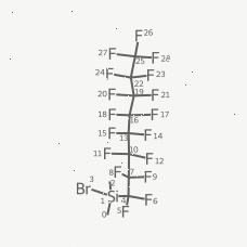 C[Si](C)(Br)C(F)(F)C(F)(F)C(F)(F)C(F)(F)C(F)(F)C(F)(F)C(F)(F)C(F)(F)F